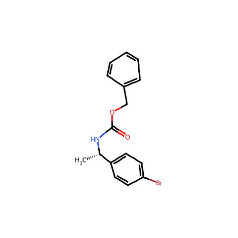 C[C@H](NC(=O)OCc1ccccc1)c1ccc(Br)cc1